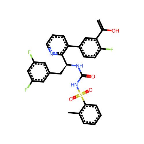 C=C(O)c1cc(-c2cccnc2[C@H](Cc2cc(F)cc(F)c2)NC(=O)NS(=O)(=O)c2ccccc2C)ccc1F